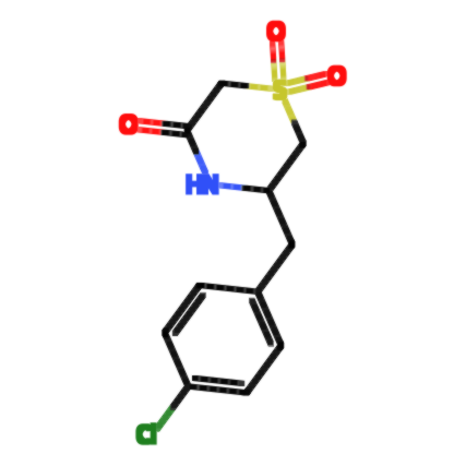 O=C1CS(=O)(=O)CC(Cc2ccc(Cl)cc2)N1